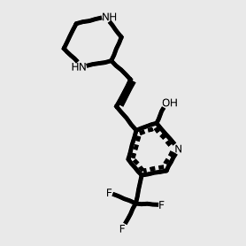 Oc1ncc(C(F)(F)F)cc1C=CC1CNCCN1